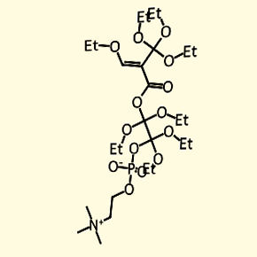 CCOC=C(C(=O)OC(OCC)(OCC)C(OCC)(OCC)OP(=O)([O-])OCC[N+](C)(C)C)C(OCC)(OCC)OCC